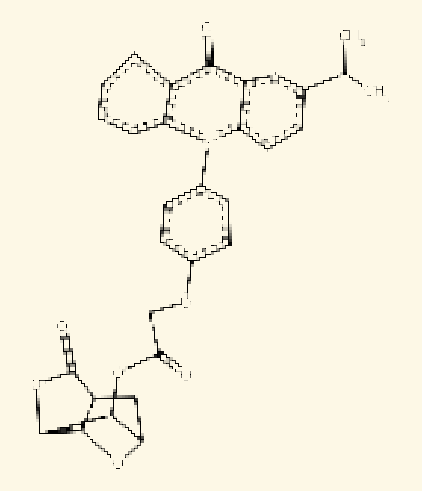 CC(C)c1ccc2c(c1)c(=O)c1ccccc1[s+]2-c1ccc(OCC(=O)OC2C3CC4C(=O)OC2C4O3)cc1